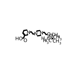 CC(C)(C)[Si](C)(C)OCCN1CCN(CCN2CCC=C(C(=O)O)C2)CC1